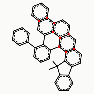 CC1(C)c2ccccc2-c2cccc(N(c3cccc(-c4ccccc4)c3)c3cccc(-c4ccccc4)c3-c3ccccc3-c3ccccc3)c21